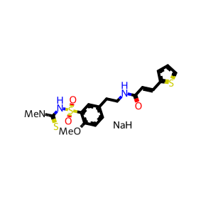 CNC(=S)NS(=O)(=O)c1cc(CCNC(=O)/C=C/c2cccs2)ccc1OC.[NaH]